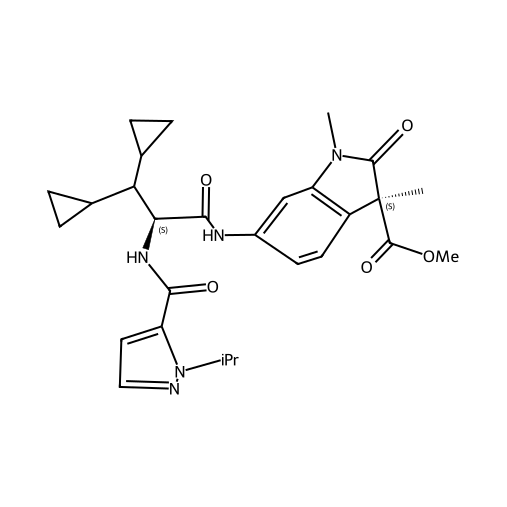 COC(=O)[C@]1(C)C(=O)N(C)c2cc(NC(=O)[C@@H](NC(=O)c3ccnn3C(C)C)C(C3CC3)C3CC3)ccc21